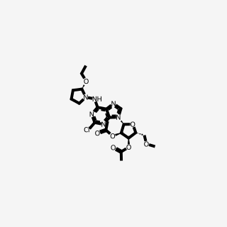 CCO[C@H]1CCCN1Nc1nc(Cl)nc2c1ncn2[C@@H]1O[C@H](COC)[C@@H](OC(C)=O)[C@H]1OC(C)=O